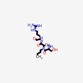 CCCCN(C(=O)C(N)CO)C(C)C(=O)N[C@@H](C=O)CCCNC(=N)N